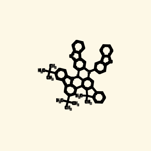 CC(C)(C)c1ccc2c(c1)c1cc(C(C)(C)C)cc3c1n2B1c2cc4oc5ccccc5c4cc2N(c2ccc4oc5ccccc5c4c2)c2cc4c(c-3c21)C(C)(C)c1ccccc1-4